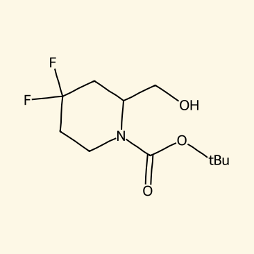 CC(C)(C)OC(=O)N1CCC(F)(F)CC1CO